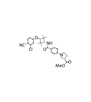 COC(=O)[C@@H]1CCN(c2ccc(C(=O)N[C@H]3C(C)(C)[C@H](Oc4ccc(C#N)c(Cl)c4)C3(C)C)cc2)C1